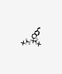 C=Cc1ccc2c(c1)CC[C@H](C(C)(ONC(=O)OC(C)(C)C)C(=O)OC(C)(C)C)O2